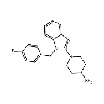 NC1CCN(c2nc3ccccc3n2Cc2ccc(F)cc2)CC1